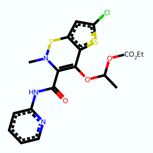 CCOC(=O)OC(C)OC1=C(C(=O)Nc2ccccn2)N(C)Sc2cc(Cl)sc21